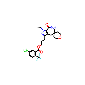 CCn1nc(CCCOC(=O)c2cc(Cl)ccc2C(F)(F)F)c2c1C(=O)NCC1(CCOCC1)C2